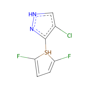 FC1=CC=C(F)[SH]1c1n[nH]cc1Cl